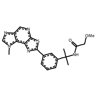 COCC(=O)NC(C)(C)c1cccc(-c2nc3c(ncc4ncn(C)c43)s2)c1